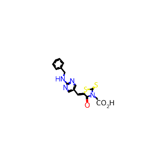 O=C(O)CN1C(=O)/C(=C/c2cnc(NCc3ccccc3)nc2)SC1=S